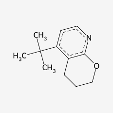 CC(C)(C)c1ccnc2c1CCCO2